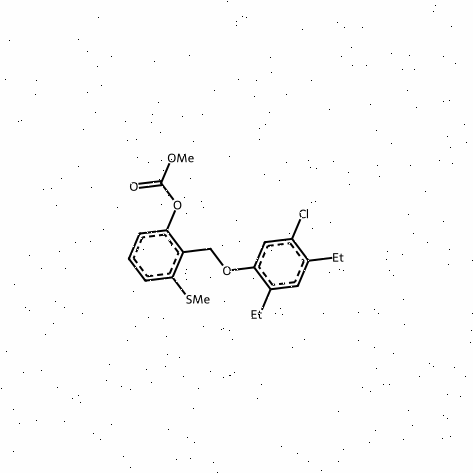 CCc1cc(CC)c(OCc2c(OC(=O)OC)cccc2SC)cc1Cl